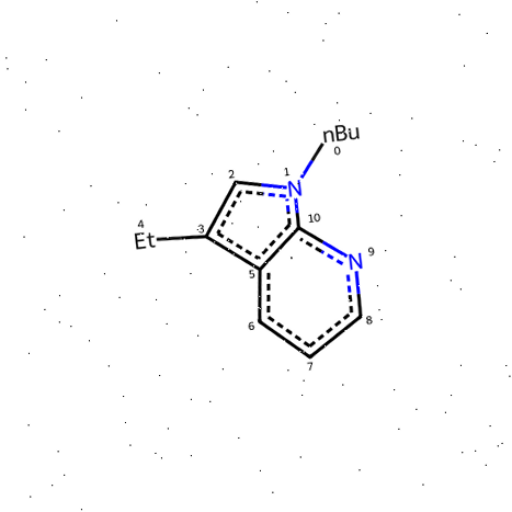 CCCCn1cc(CC)c2cccnc21